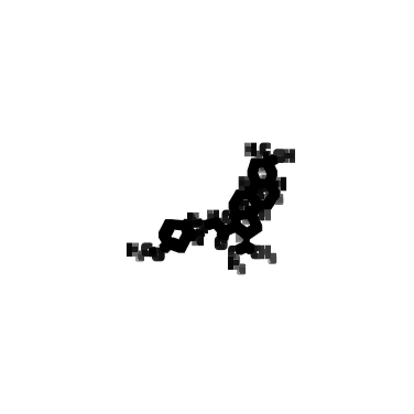 COc1ccc2nn(CC(=O)C3[C@H](C(C)C)C[C@H]4[C@@H]5CC[C@H]6C[C@](C)(O)CC[C@]6(C)[C@H]5CC[C@]34C)nc2c1